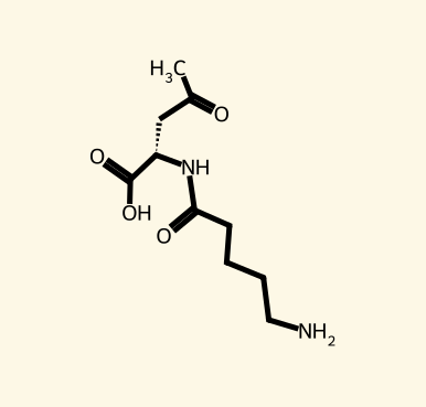 CC(=O)C[C@H](NC(=O)CCCCN)C(=O)O